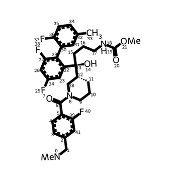 CNCc1ccc(C(=O)N2CCC[C@@H]([C@@](O)(CCCNC(=O)OC)c3cc(F)cc(F)c3-c3cc(C)ccc3F)C2)c(F)c1